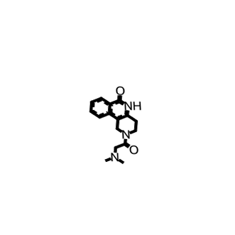 CN(C)CC(=O)N1CCc2[nH]c(=O)c3ccccc3c2C1